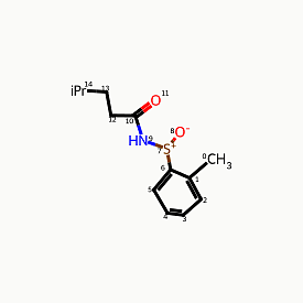 Cc1ccccc1[S+]([O-])NC(=O)CCC(C)C